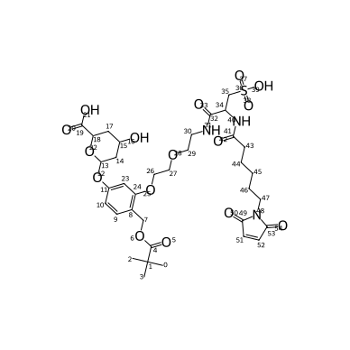 CC(C)(C)C(=O)OCc1ccc(OC2CC(O)CC(C(=O)O)O2)cc1OCCOCCNC(=O)C(CS(=O)(=O)O)NC(=O)CCCCCN1C(=O)C=CC1=O